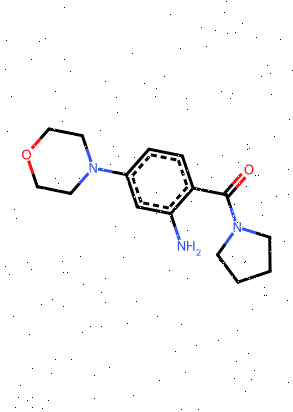 Nc1cc(N2CCOCC2)ccc1C(=O)N1CCCC1